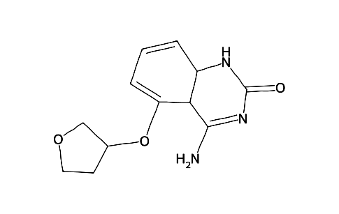 NC1=NC(=O)NC2C=CC=C(OC3CCOC3)C12